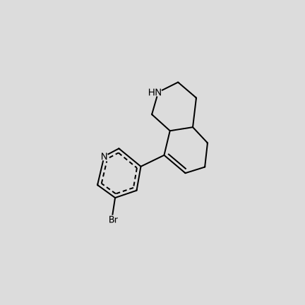 Brc1cncc(C2=CCCC3CCNCC23)c1